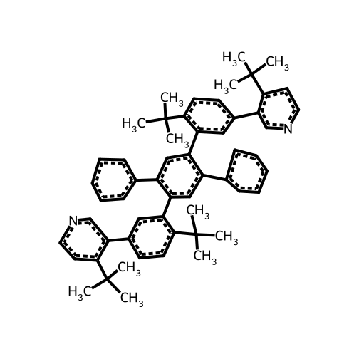 CC(C)(C)c1ccncc1-c1ccc(C(C)(C)C)c(-c2cc(-c3ccccc3)c(-c3cc(-c4cnccc4C(C)(C)C)ccc3C(C)(C)C)cc2-c2ccccc2)c1